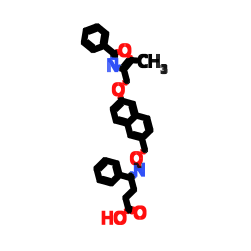 Cc1oc(-c2ccccc2)nc1COc1ccc2cc(CON=C(CCC(=O)O)c3ccccc3)ccc2c1